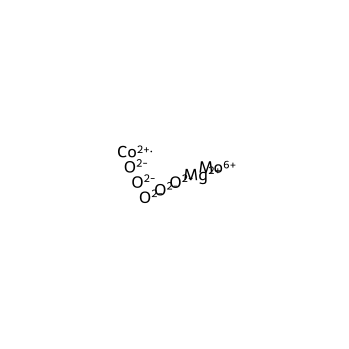 [Co+2].[Mg+2].[Mo+6].[O-2].[O-2].[O-2].[O-2].[O-2]